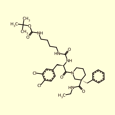 CCNC(=O)[C@]1(Cc2ccccc2)CCCN(C(=O)[C@@H](Cc2ccc(Cl)c(Cl)c2)NC(=O)NCCCCNC(=O)OC(C)(C)C)C1